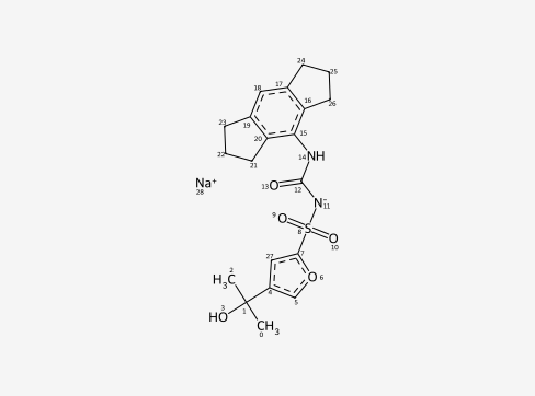 CC(C)(O)c1coc(S(=O)(=O)[N-]C(=O)Nc2c3c(cc4c2CCC4)CCC3)c1.[Na+]